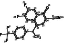 CC(c1ccc(C(F)(F)F)cc1)n1cc(C#N)c(=O)c2cc(F)c(F)cc21